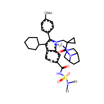 CCN(CC)S(=O)(=O)NC(=O)c1ccc2c(C3CCCCC3)c(-c3ccc(OC)cc3)n(CC3(C(=O)N4C5CCC4CN(C)C5)CC3)c2c1